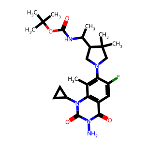 Cc1c(N2CC(C(C)NC(=O)OC(C)(C)C)C(C)(C)C2)c(F)cc2c(=O)n(N)c(=O)n(C3CC3)c12